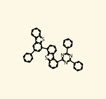 c1ccc(-c2cc(-c3cccc4c3sc3cccc(-c5nc(-c6ccccc6)nc(-c6ccccc6)n5)c34)c3sc4ccccc4c3c2)cc1